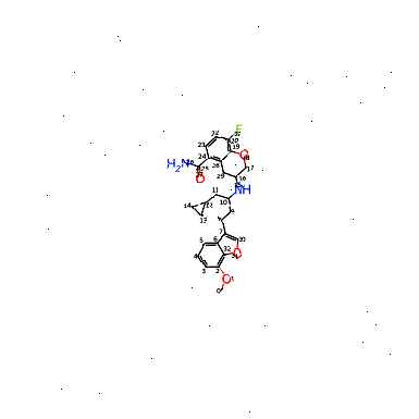 COc1cccc2c(CCC(CC3CC3)NC3COc4c(F)ccc(C(N)=O)c4C3)coc12